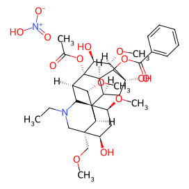 CCN1C[C@]2(COC)[C@H](O)C[C@H](OC)[C@]34C1[C@H]([C@H](OC)[C@H]23)[C@]1(OC(C)=O)[C@H]2[C@@H](OC(=O)c3ccccc3)[C@](O)(C[C@H]24)[C@@H](OC)[C@@H]1O.O=[N+]([O-])O